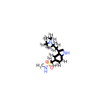 [2H]c1c(C([2H])([2H])S(=O)(=O)NC)c([2H])c2c(C([2H])([2H])C([2H])([2H])N(C([2H])([2H])[2H])C([2H])([2H])[2H])c[nH]c2c1[2H]